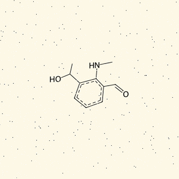 CNc1c(C=O)cccc1C(C)O